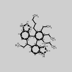 CCCCc1c(CC)c(CC)c(OCC)c2c1-c1c(ccc3[nH]nnc13)C(CC)c1ccc3[nH]nnc3c1-2